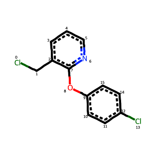 ClCc1cccnc1Oc1ccc(Cl)cc1